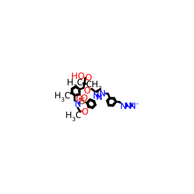 Cc1ccc(C(OCc2cn(Cc3cccc(CN=[N+]=[N-])c3)nn2)C(C)(C)C(=O)O)cc1CN1C[C@@H](C)Oc2ccccc2S1(=O)=O